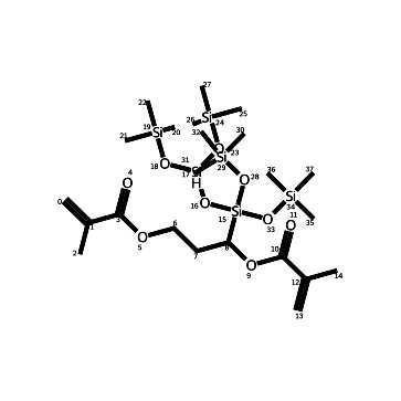 C=C(C)C(=O)OCCC(OC(=O)C(=C)C)[Si](O[SiH](O[Si](C)(C)C)O[Si](C)(C)C)(O[Si](C)(C)C)O[Si](C)(C)C